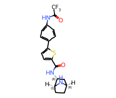 O=C(N[C@@H]1C[C@H]2CC[C@@H]1N2)c1ccc(-c2ccc(NC(=O)C(F)(F)F)cc2)s1